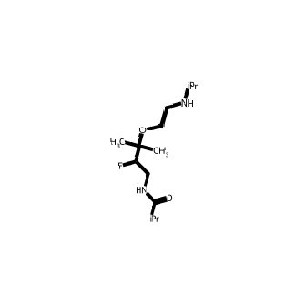 CC(C)NCCOC(C)(C)C(F)CNC(=O)C(C)C